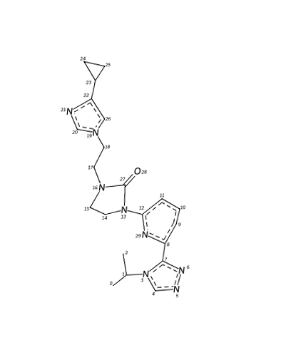 CC(C)n1cnnc1-c1cccc(N2CCN(CCn3cnc(C4CC4)c3)C2=O)n1